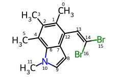 Cc1c(C)c(C)c2c(ccn2C)c1C=C(Br)Br